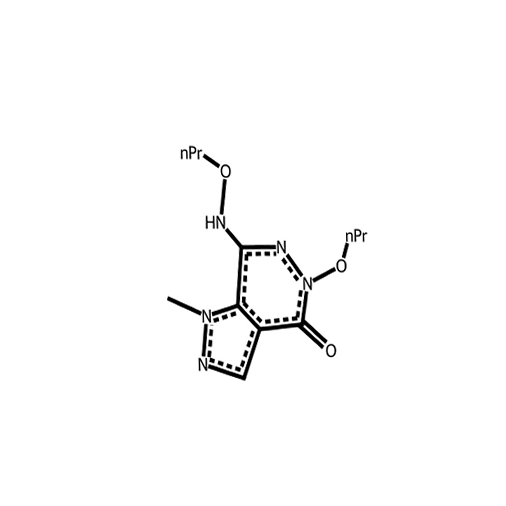 CCCONc1nn(OCCC)c(=O)c2cnn(C)c12